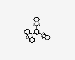 c1ccc2c(c1)Oc1ccccc1N2c1cc(-c2nc3ccccc3s2)cc(-c2nc3ccccc3s2)c1